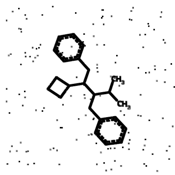 CC(C)C(Cc1ccccc1)[C](Cc1ccccc1)C1CCC1